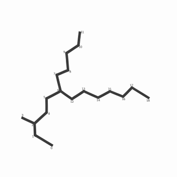 C[CH]C(C)CCC(CCCCC)CCCCCCC